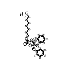 CCCCCCCCOP(=O)(O)OP(=O)(Oc1ccccc1)Oc1ccccc1